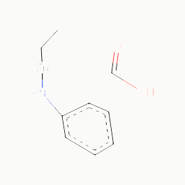 C[CH2][Zn][NH]c1ccccc1.O=CO